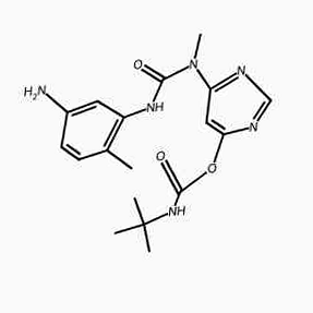 Cc1ccc(N)cc1NC(=O)N(C)c1cc(OC(=O)NC(C)(C)C)ncn1